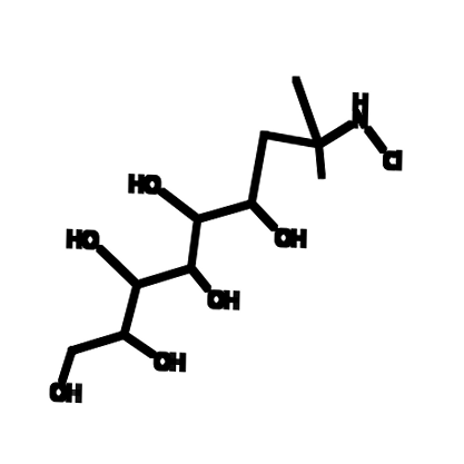 CC(C)(CC(O)C(O)C(O)C(O)C(O)CO)NCl